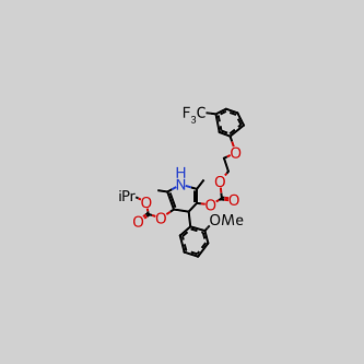 COc1ccccc1C1C(OC(=O)OCCOc2cccc(C(F)(F)F)c2)=C(C)NC(C)=C1OC(=O)OC(C)C